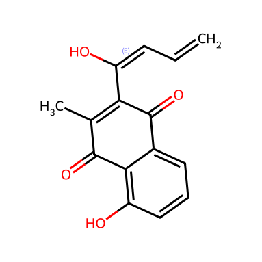 C=C/C=C(/O)C1=C(C)C(=O)c2c(O)cccc2C1=O